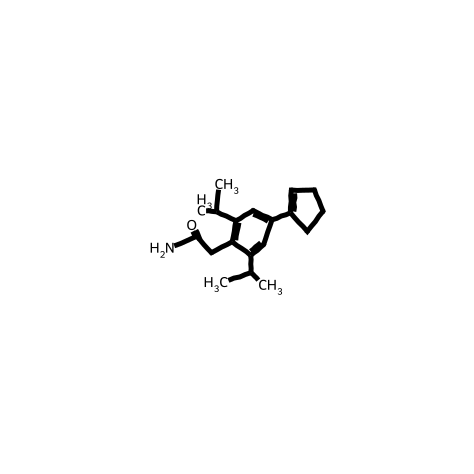 CC(C)c1cc(C2=CCCC2)cc(C(C)C)c1CC(N)=O